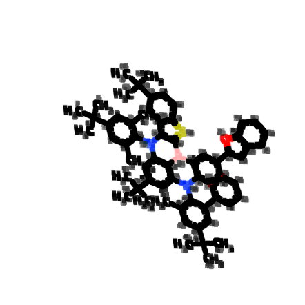 Cc1cc(C(C)(C)C)cc(C)c1N1c2cc(C(C)(C)C)cc3c2B(c2cc(-c4cc5ccccc5o4)ccc2N3c2c(C)cc(C(C)(C)C)cc2-c2ccccc2)c2sc3ccc(C(C)(C)C)cc3c21